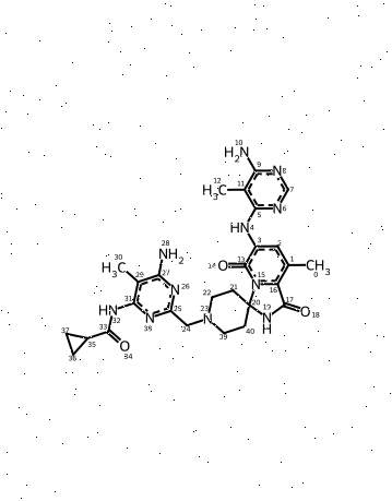 Cc1cc(Nc2ncnc(N)c2C)c(=O)n2c1C(=O)NC21CCN(Cc2nc(N)c(C)c(NC(=O)C3CC3)n2)CC1